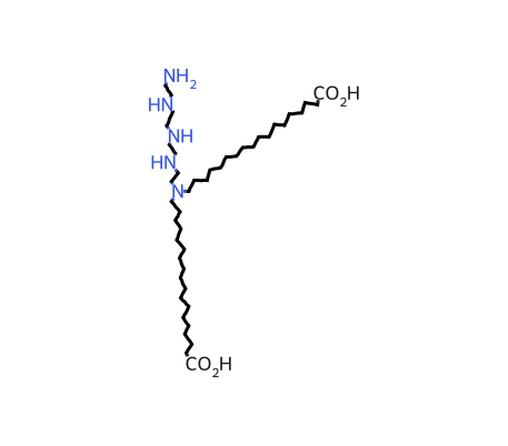 NCCNCCNCCNCCN(CCCCCCCCCCCCCCCCCC(=O)O)CCCCCCCCCCCCCCCCCC(=O)O